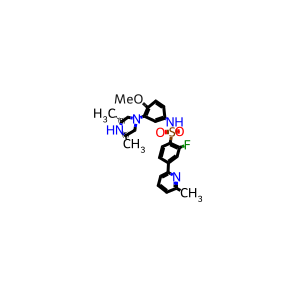 COc1ccc(NS(=O)(=O)c2ccc(-c3cccc(C)n3)cc2F)cc1N1C[C@@H](C)N[C@@H](C)C1